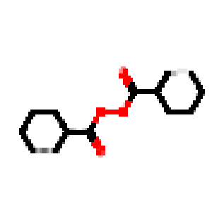 O=C(OOC(=O)C1CCCCC1)C1CCCCC1